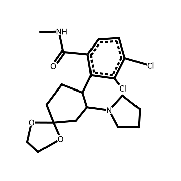 CNC(=O)c1ccc(Cl)c(Cl)c1C1CCC2(CC1N1CCCC1)OCCO2